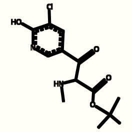 CNC(C(=O)OC(C)(C)C)C(=O)c1cnc(O)c(Cl)c1